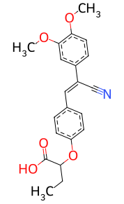 CCC(Oc1ccc(/C=C(\C#N)c2ccc(OC)c(OC)c2)cc1)C(=O)O